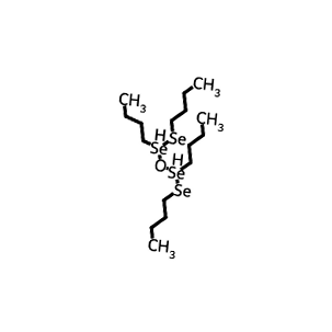 CCCC[Se][SeH](CCCC)O[SeH](CCCC)[Se]CCCC